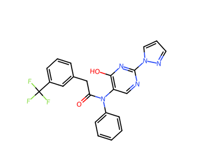 O=C(Cc1cccc(C(F)(F)F)c1)N(c1ccccc1)c1cnc(-n2cccn2)nc1O